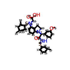 COc1cccc(C(C(=O)NSc2cccc(C)c2)N2CCc3c(N(CC(=O)O)Sc4c(C)cc(C)cc4C)cccc32)c1